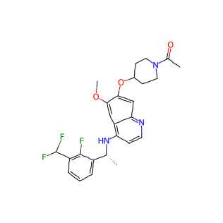 COc1cc2c(N[C@H](C)c3cccc(C(F)F)c3F)ccnc2cc1OC1CCN(C(C)=O)CC1